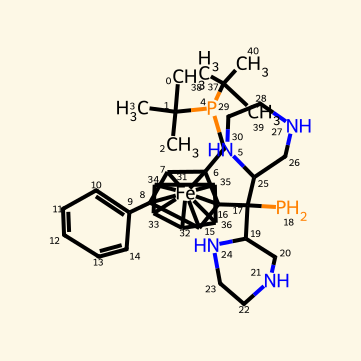 CC(C)(C)P(C[C]12[CH]3[C]4(c5ccccc5)[CH]5[C]1(C(P)(C1CNCCN1)C1CNCCN1)[Fe]35421678[CH]2[CH]1[CH]6[CH]7[CH]28)C(C)(C)C